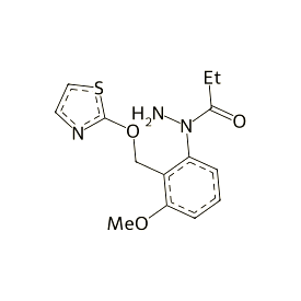 CCC(=O)N(N)c1cccc(OC)c1COc1nccs1